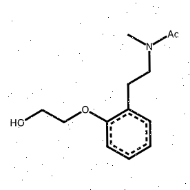 CC(=O)N(C)CCc1ccccc1OCCO